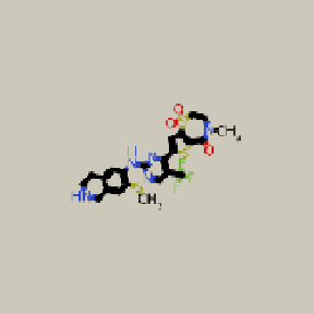 CSc1cc2c(cc1Nc1ncc(C(F)(F)F)c(-c3cc4c(s3)C(=O)N(C)CCS4(=O)=O)n1)CCNC2